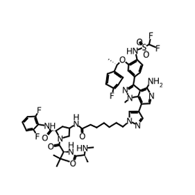 CN[C@@H](C)C(=O)N[C@H](C(=O)N1CC(NC(=O)CCCCCCn2cc(-c3cnc(N)c4c(-c5ccc(NS(=O)(=O)C(F)F)c(O[C@@H](C)c6ccc(F)cc6)c5)nn(C)c34)cn2)C[C@H]1C(=O)Nc1c(F)cccc1F)C(C)(C)C